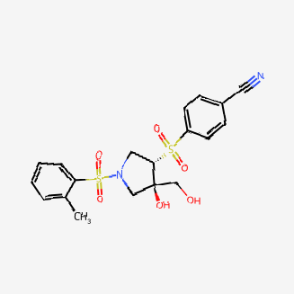 Cc1ccccc1S(=O)(=O)N1C[C@H](S(=O)(=O)c2ccc(C#N)cc2)[C@](O)(CO)C1